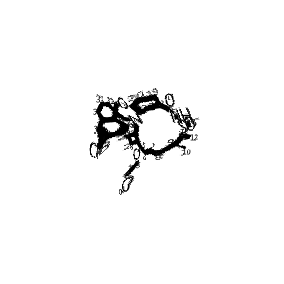 COCCOC1/C=C/C[C@H](C)C(C)[S+]([O-])NC(=O)c2ccc3c(c2)N(CC2CCC21)CC1(CCCc2cc(Cl)ccc21)CO3